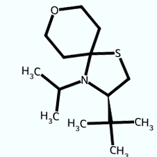 CC(C)N1[C@H](C(C)(C)C)CSC12CCOCC2